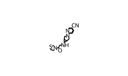 N#Cc1ccc(N2CC3C(C2)C3NCC(=O)N2CCSC2)nc1